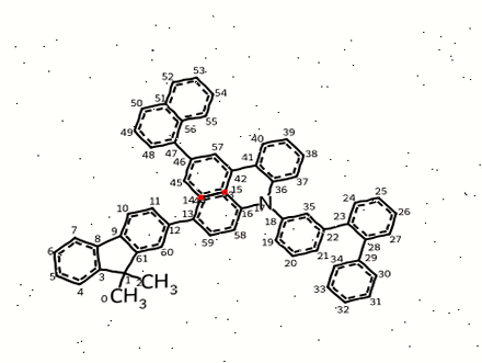 CC1(C)c2ccccc2-c2ccc(-c3ccc(N(c4cccc(-c5ccccc5-c5ccccc5)c4)c4ccccc4-c4cccc(-c5cccc6ccccc56)c4)cc3)cc21